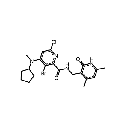 Cc1cc(C)c(CNC(=O)c2nc(Cl)cc(N(C)C3CCCC3)c2Br)c(=O)[nH]1